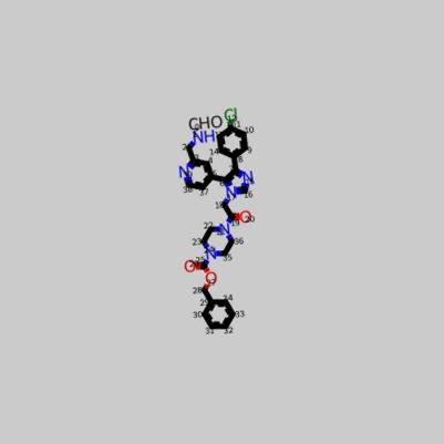 O=CNCc1cc(-c2c(-c3ccc(Cl)cc3)ncn2CC(=O)N2CCN(C(=O)OCc3ccccc3)CC2)ccn1